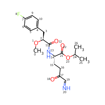 CO[C@@H](Cc1ccc(F)cc1)C(=O)N[C@@H](CCC(=O)C=N)C(=O)OC(C)C